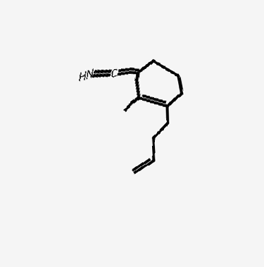 C=CCCC1=C(C)C(=C=N)CCC1